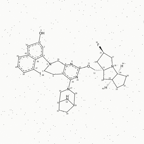 Oc1cc(N2CCc3c(nc(OC[C@]45C[C@@H](F)CN4[C@H]4CCC[C@H]4C5)nc3N3CC4CCC(C3)N4)C2)c2c(I)cccc2c1